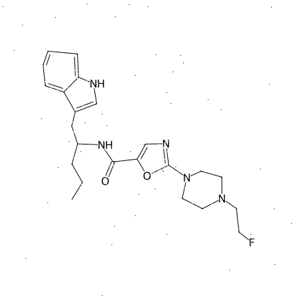 CCCC(Cc1c[nH]c2ccccc12)NC(=O)c1cnc(N2CCN(CCF)CC2)o1